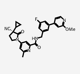 COc1cc(-c2cc(F)cc(CNC(=O)c3cc(N4CC[C@@](C#N)(C5CC5)C4=O)cc(C)n3)c2)ccn1